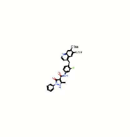 COc1cc2nccc(Cc3ccc(NC(=O)c4c(C)[nH]n(-c5ccccc5)c4=O)cc3F)c2cc1OC